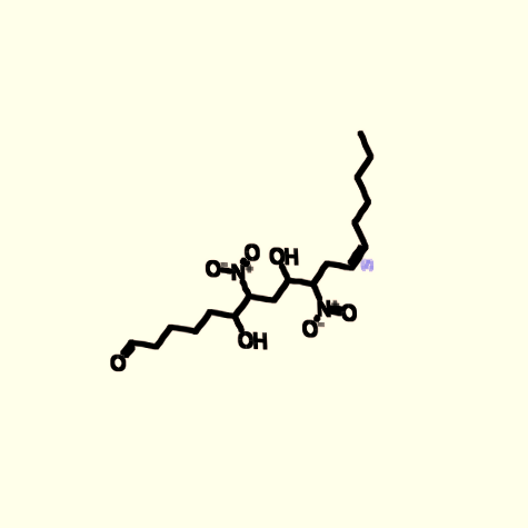 CCCCC/C=C\CC(C(O)CC(C(O)CCCCC=O)[N+](=O)[O-])[N+](=O)[O-]